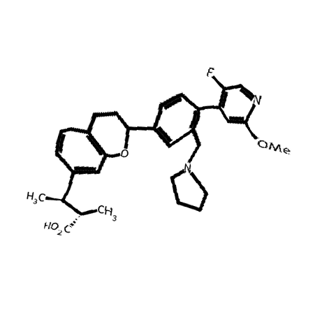 COc1cc(-c2ccc(C3CCc4ccc([C@H](C)[C@H](C)C(=O)O)cc4O3)cc2CN2CCCC2)c(F)cn1